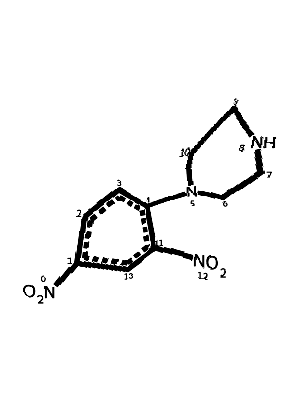 O=[N+]([O-])c1ccc(N2CCNCC2)c([N+](=O)[O-])c1